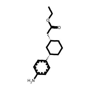 CCOC(=O)C[C@@H]1CCC[C@H](c2ccc(N)cc2)C1